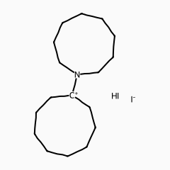 C1CCCC[C+](N2CCCCCCCC2)CCC1.I.[I-]